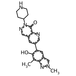 Cc1c(O)c(-c2cnc3c(=O)n(C4CCNCC4)ncc3c2)cc2cn(C)nc12